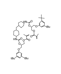 C=C(C)C(=O)OCC(COc1cc(C(C)(C)C)cc(C(C)(C)C)c1)OC(=O)NC1CCC(CC2CCC(NC(=O)OC(COC(=O)C(=C)C)COc3cc(C(C)(C)C)cc(C(C)(C)I)c3)CC2)CC1